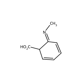 CN=C1C=CC=CC1C(=O)O